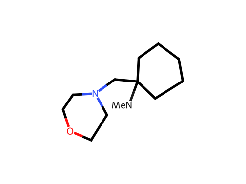 CNC1(CN2CCOCC2)CCCCC1